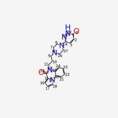 O=c1ccc(N2CCN(CCCn3c(=O)c4cccn4c4ccccc43)CC2)n[nH]1